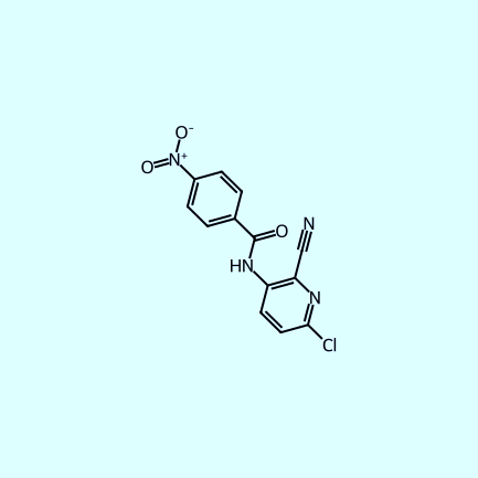 N#Cc1nc(Cl)ccc1NC(=O)c1ccc([N+](=O)[O-])cc1